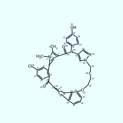 Cc1c2cc(n1C)-c1cc(Cl)ccc1C(=O)N1CCc3c(cccc3OCCCCn3cc(cn3)N(c3ccc(O)cc3)C2=O)C1